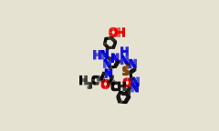 C[C@@H]1CN(c2cc(Nc3ncc(-c4nnc(-c5ccccc5)o4)s3)nc(NC3CCC(O)CC3)n2)C[C@H](C)O1